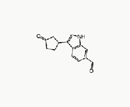 O=Cc1ccc2c(C3CCC(=O)C3)c[nH]c2c1